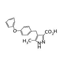 Cc1[nH]nc(C(=O)O)c1Cc1ccc(Oc2ccccc2)cc1